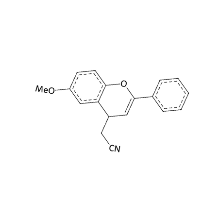 COc1ccc2c(c1)C(CC#N)C=C(c1ccccc1)O2